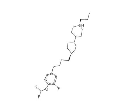 CCC[Si@H]1CC[C@H]([C@H]2CC[C@H](CCCCc3ccc(OC(F)F)c(F)c3)CC2)CC1